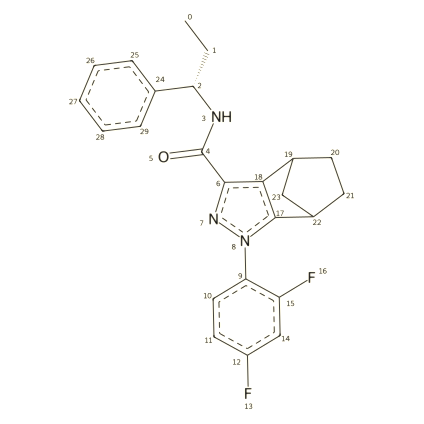 CC[C@H](NC(=O)c1nn(-c2ccc(F)cc2F)c2c1C1CCC2C1)c1ccccc1